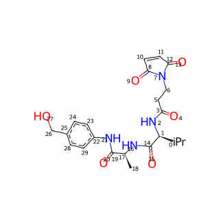 CC(C)[C@H](NC(=O)CCN1C(=O)C=CC1=O)C(=O)N[C@@H](C)C(=O)Nc1ccc(CO)cc1